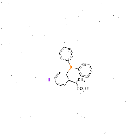 CCOC(=O)C(C)=C1C=CC=CC1P(c1ccccc1)c1ccccc1.I